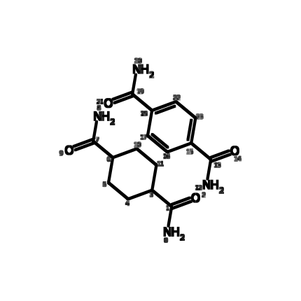 NC(=O)C1CCC(C(N)=O)CC1.NC(=O)c1ccc(C(N)=O)cc1